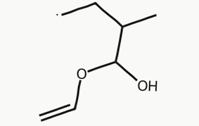 [CH2]CC(C)C(O)OC=C